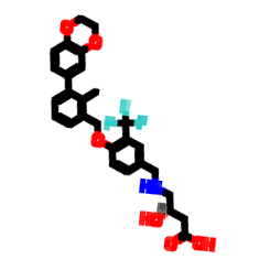 Cc1c(COc2ccc(CNC[C@@H](O)CC(=O)O)cc2C(F)(F)F)cccc1-c1ccc2c(c1)OCCO2